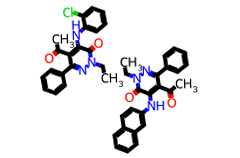 CCn1nc(-c2ccccc2)c(C(C)=O)c(Nc2ccc3ccccc3c2)c1=O.CCn1nc(-c2ccccc2)c(C(C)=O)c(Nc2ccccc2Cl)c1=O